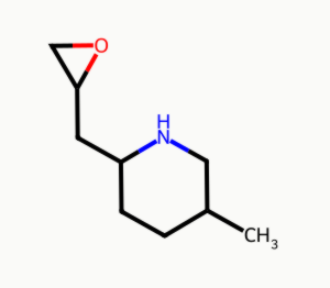 CC1CCC(CC2CO2)NC1